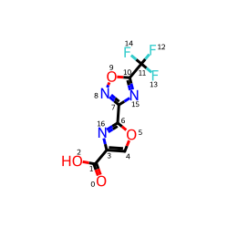 O=C(O)c1coc(-c2noc(C(F)(F)F)n2)n1